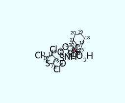 O=C(NS(=O)(=O)c1c(Cl)sc(Cl)c1Cl)C(F)=C1C2CCCC1CN(C(=O)O)C2